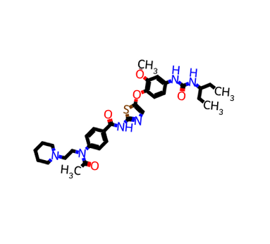 CCC(CC)NC(=O)Nc1ccc(Oc2cnc(NC(=O)c3ccc(N(CCN4CCCCC4)C(C)=O)cc3)s2)c(OC)c1